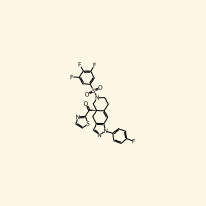 O=C(c1nccs1)[C@]12Cc3cnn(-c4ccc(F)cc4)c3C=C1CCN(S(=O)(=O)c1cc(F)c(F)c(F)c1)C2